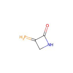 O=C1NCC1=[PH3]